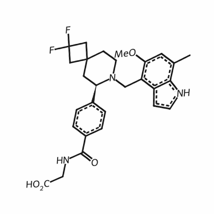 COc1cc(C)c2[nH]ccc2c1CN1CCC2(C[C@@H]1c1ccc(C(=O)NCC(=O)O)cc1)CC(F)(F)C2